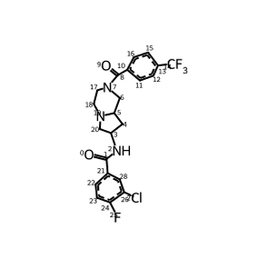 O=C(NC1CC2CN(C(=O)c3ccc(C(F)(F)F)cc3)CCN2C1)c1ccc(F)c(Cl)c1